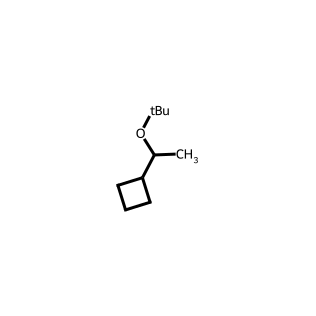 CC(OC(C)(C)C)C1CCC1